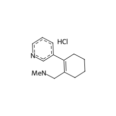 CNCC1=C(c2cccnc2)CCCC1.Cl